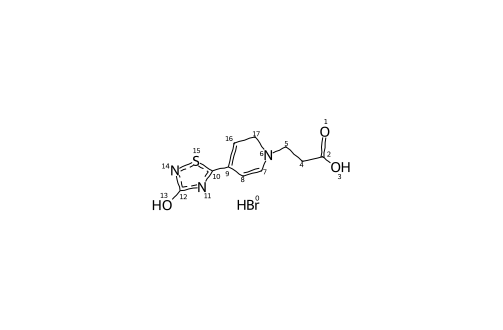 Br.O=C(O)CCN1C=CC(c2nc(O)ns2)=CC1